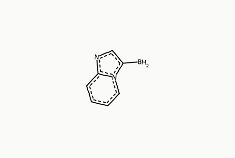 Bc1cnc2ccccn12